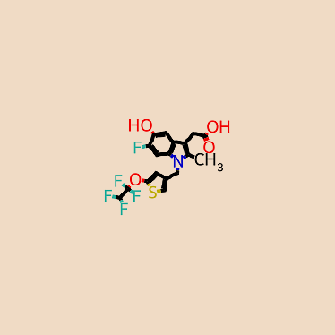 Cc1c(CC(=O)O)c2cc(O)c(F)cc2n1Cc1csc(OC(F)(F)C(F)F)c1